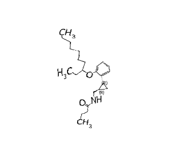 CCCCCCCC(CC)Oc1ccccc1[C@@H]1C[C@H]1CNC(=O)CCC